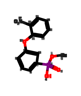 CCC(C)OP(=O)(O)c1cccc(Oc2ccccc2[N+](=O)[O-])c1